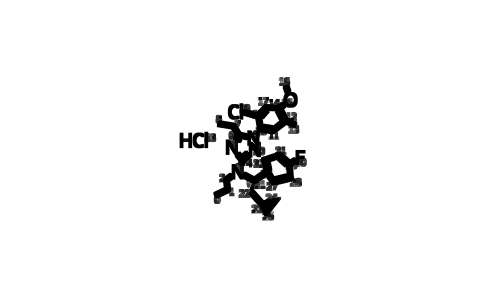 CCCN(c1nc(CC)n(-c2cc(C)c(OC)cc2Cl)n1)[C@@H](CC1CC1)c1ccc(F)cc1.Cl